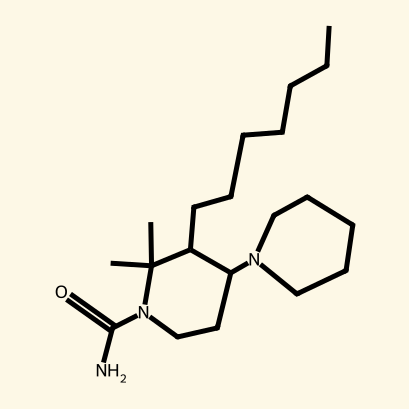 CCCCCCCC1C(N2CCCCC2)CCN(C(N)=O)C1(C)C